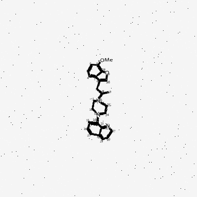 COc1cccc2c(CC(C)N3CCN(c4cccc5cccnc45)CC3)coc12